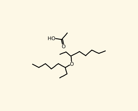 CC(=O)O.CCCCCC(CC)OC(CC)CCCCC